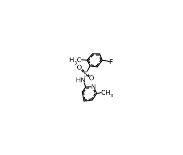 Cc1cccc(NS(=O)(=O)c2cc(F)ccc2C)n1